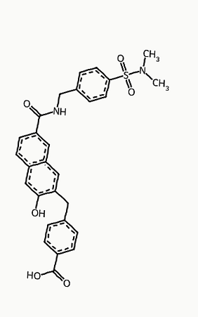 CN(C)S(=O)(=O)c1ccc(CNC(=O)c2ccc3cc(O)c(Cc4ccc(C(=O)O)cc4)cc3c2)cc1